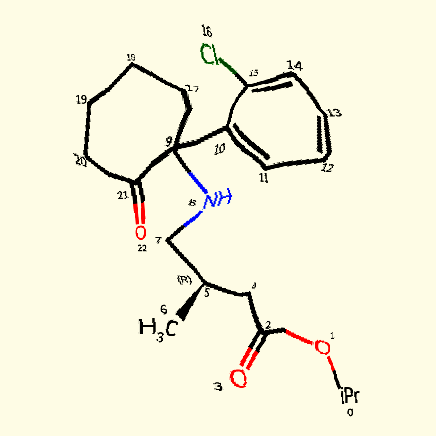 CC(C)OC(=O)C[C@@H](C)CNC1(c2ccccc2Cl)CCCCC1=O